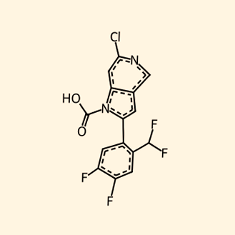 O=C(O)n1c(-c2cc(F)c(F)cc2C(F)F)cc2cnc(Cl)cc21